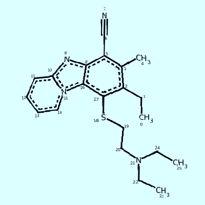 CCc1c(C)c(C#N)c2nc3ccccn3c2c1SCCN(CC)CC